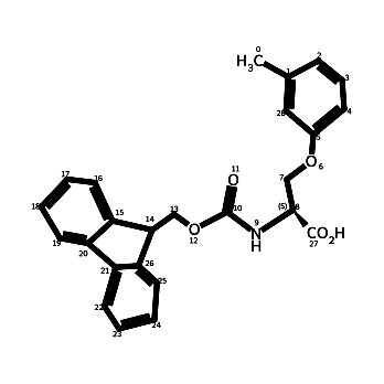 Cc1cccc(OC[C@H](NC(=O)OCC2c3ccccc3-c3ccccc32)C(=O)O)c1